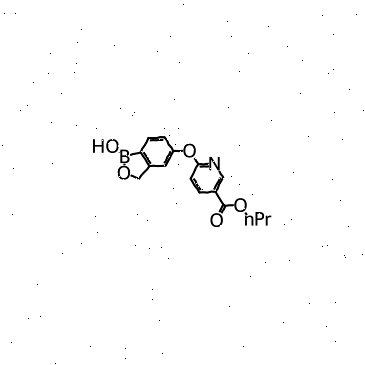 CCCOC(=O)c1ccc(Oc2ccc3c(c2)COB3O)nc1